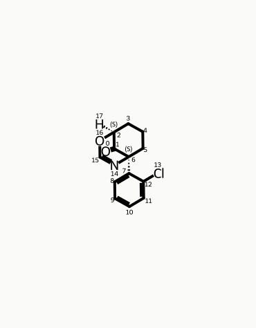 O=C1[C@@H]2CCC[C@@]1(c1ccccc1Cl)N=CO2